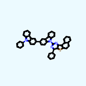 c1ccc(-c2nc(-n3c4ccccc4c4cc(-c5ccc6c(c5)c5ccccc5n6-c5ccccc5)ccc43)nc3c2sc2ccc4ccccc4c23)cc1